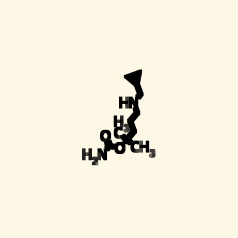 CC(C)(CCCNCC1CC1)OC(N)=O